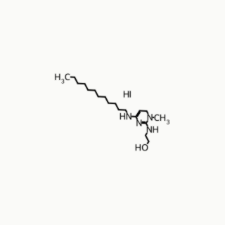 CCCCCCCCCCCCNC1=CCN(C)C(NCCO)=N1.I